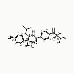 CC(C)CC(NC(=O)c1ccc(NS(=O)(=O)C(C)C)cc1)C1(c2ccc(Cl)cc2)CCC1